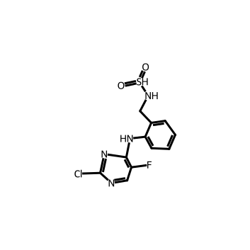 O=[SH](=O)NCc1ccccc1Nc1nc(Cl)ncc1F